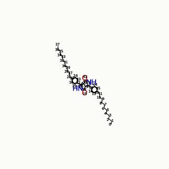 CCCCCCCCCCCCc1ccc(C2=C3C(=O)NC(c4ccc(CCCCCCCCCCCC)cc4)=C3C(=O)N2)cc1